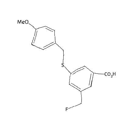 COc1ccc(CSc2cc(CF)cc(C(=O)O)c2)cc1